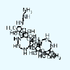 COC1[C@H]2CNCCNCCNC[C@H]3C[C@H](OC4[C@H]5CNCCNCCNC[C@H]6C[C@H](OC7[C@@H](CNCCNCCN)C[C@H](C)[C@H](O)[C@H]7O)[C@H](O)[C@@H](O)C6O[C@@H](C5)[C@H](O)[C@H]4O)[C@H](O)[C@@H](O)C3O[C@@H](C2)[C@H](O)[C@H]1O